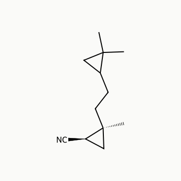 CC1(C)CC1CC[C@@]1(C)C[C@H]1C#N